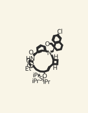 CC[C@@H]1CC[C@H](O[Si](C(C)C)(C(C)C)C(C)C)/C=C/[C@@H]2CC[C@H]2CN2C[C@@]3(CCCc4cc(Cl)ccc43)COc3ccc(cc32)C(=O)NS1(=O)=O